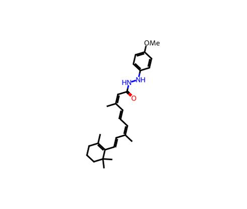 COc1ccc(NNC(=O)C=C(C)C=CC=C(C)C=CC2=C(C)CCCC2(C)C)cc1